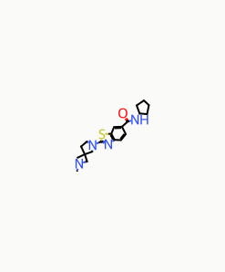 CN1CC2(CCN(c3nc4ccc(C(=O)NC5CCCC5)cc4s3)C2)C1